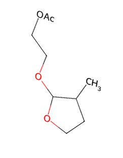 CC(=O)OCCOC1OCCC1C